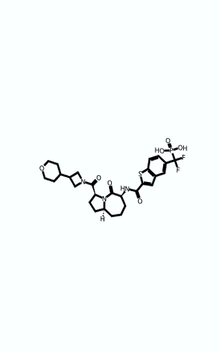 O=C(N[C@H]1CCC[C@H]2CC[C@@H](C(=O)N3CC(C4CCOCC4)C3)N2C1=O)c1cc2cc(C(F)(F)P(=O)(O)O)ccc2s1